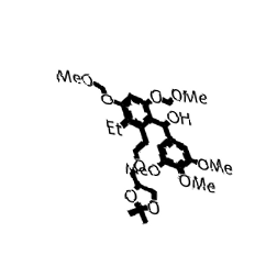 CCc1c(OCOC)cc(OCOC)c(C(O)c2cc(OC)c(OC)c(OC)c2)c1CCOCC1COC(C)(C)O1